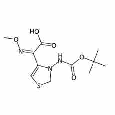 CON=C(C(=O)O)C1=CSCN1NC(=O)OC(C)(C)C